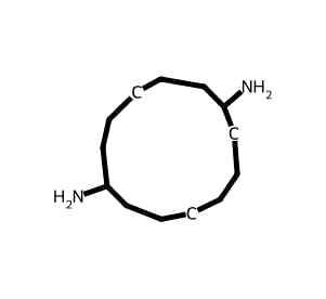 NC1CCCCCCC(N)CCCCC1